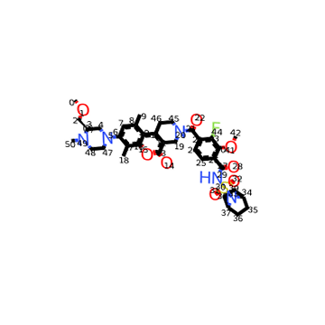 COC[C@H]1CN(c2cc(C)c3c4c(c(=O)oc3c2C)CN(C(=O)c2ccc(C(=O)NS(=O)(=O)N3C5CCC3CC5)c(OC)c2F)CC4)CCN1C